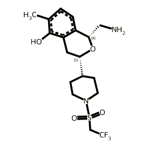 Cc1ccc2c(c1O)C[C@@H](C1CCN(S(=O)(=O)CC(F)(F)F)CC1)O[C@H]2CN